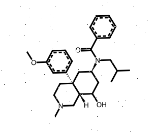 COc1cccc([C@@]23CCN(C)C[C@H]2C(O)C[C@H](N(CC(C)C)C(=O)c2ccccc2)C3)c1